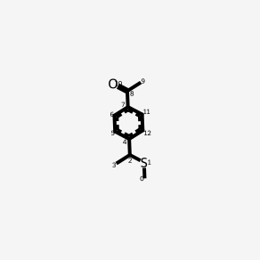 CSC(C)c1ccc(C(C)=O)cc1